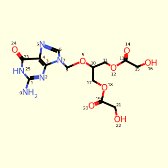 Nc1nc2c(ncn2COC(COC(=O)CO)COC(=O)CO)c(=O)[nH]1